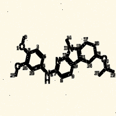 COc1ccc(Nc2ccc3c4c(n(C)c3n2)CCC(OC(C)C)C4)cc1OC